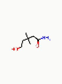 CC(C)(CCO)CC(N)=O